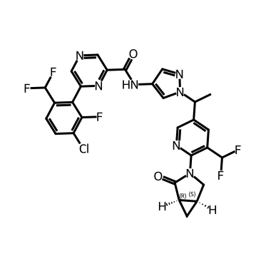 CC(c1cnc(N2C[C@H]3C[C@H]3C2=O)c(C(F)F)c1)n1cc(NC(=O)c2cncc(-c3c(C(F)F)ccc(Cl)c3F)n2)cn1